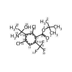 CC(C)(C)OC(=O)c1c(C(F)(F)F)cc(Cl)c(C(C)(N)O)c1Cl